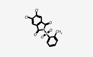 Cc1ccccc1S(=O)(=O)N1C(=O)c2cc(Cl)c(Cl)cc2C1=O